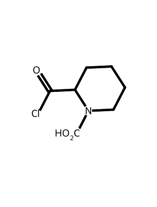 O=C(Cl)C1CCCCN1C(=O)O